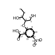 CCC(O)C(CS)Oc1ccc([N+](=O)[O-])cc1C(=O)O